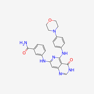 NC(=O)c1cccc(Nc2cc3nc[nH]c(=O)c3c(Nc3ccc(N4CCOCC4)cc3)n2)c1